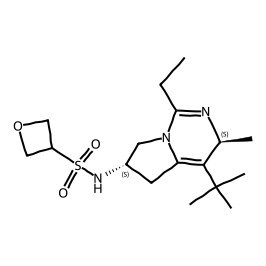 CCC1=N[C@@H](C)C(C(C)(C)C)=C2C[C@H](NS(=O)(=O)C3COC3)CN12